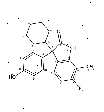 Cc1c(F)ccc2c1NC(=O)C2(c1ccc(O)cc1)C1CCCCC1